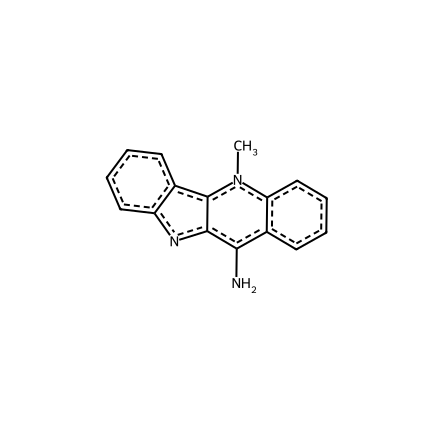 Cn1c2c3ccccc3nc-2c(N)c2ccccc21